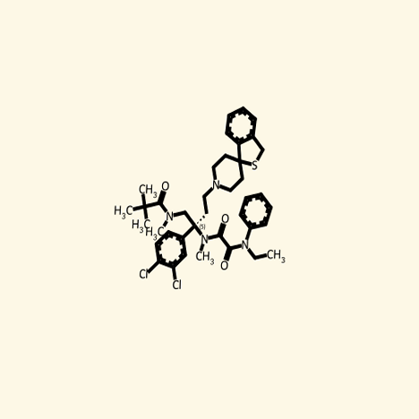 CCN(C(=O)C(=O)N(C)[C@](CCN1CCC2(CC1)SCc1ccccc12)(CN(C)C(=O)C(C)(C)C)c1ccc(Cl)c(Cl)c1)c1ccccc1